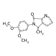 C=C1c2cccnc2C(=O)N1c1ccc(OC)c(OC)c1